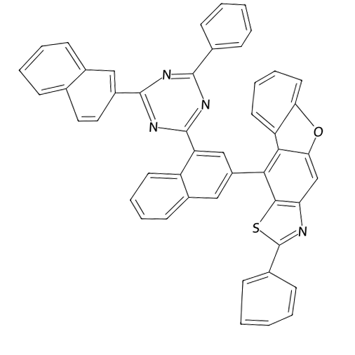 c1ccc(-c2nc(-c3ccc4ccccc4c3)nc(-c3cc(-c4c5sc(-c6ccccc6)nc5cc5oc6ccccc6c45)cc4ccccc34)n2)cc1